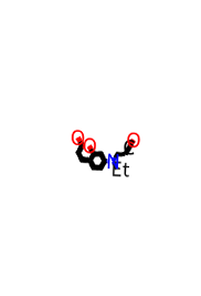 CCN(CC=C=O)c1ccc2ccc(=O)oc2c1